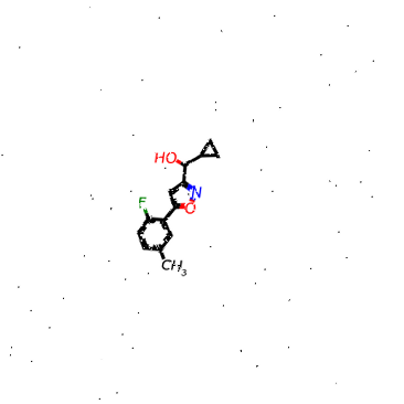 Cc1ccc(F)c(-c2cc(C(O)C3CC3)no2)c1